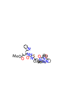 CCCCN1CCCC[C@@H]1C(=O)N[C@H](C(=O)N(C)C(C[C@@H](OC(C)=O)c1nc(C(=O)N[C@@H](Cc2cn(C)c3ccccc23)C[C@H](C)C(=O)OC)cs1)C(C)C)[C@@H](C)CC